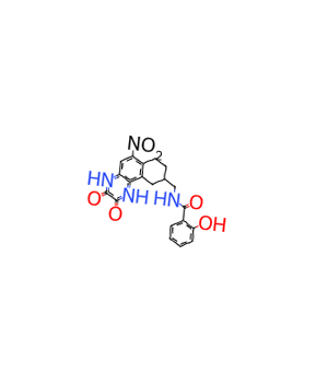 O=C(NCC1CCc2c([N+](=O)[O-])cc3[nH]c(=O)c(=O)[nH]c3c2C1)c1ccccc1O